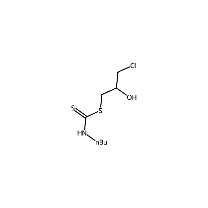 CCCCNC(=S)SCC(O)CCl